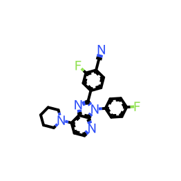 N#Cc1ccc(-c2nc3c(N4CCCCC4)ccnc3n2-c2ccc(F)cc2)cc1F